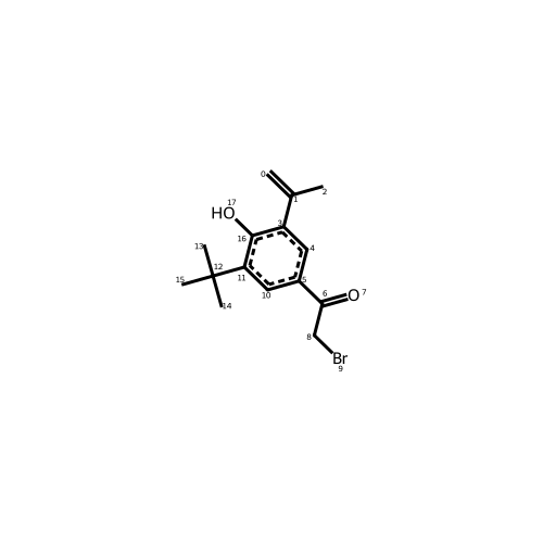 C=C(C)c1cc(C(=O)CBr)cc(C(C)(C)C)c1O